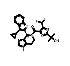 CC(C)(O)c1nc(C(F)F)c(C(=O)N2CCc3[nH]cnc3[C@H]2c2oc3ccccc3c2C2CC2)o1